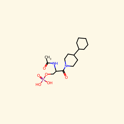 CC(=O)NC(COP(=O)(O)O)C(=O)N1CCC(C2CCCCC2)CC1